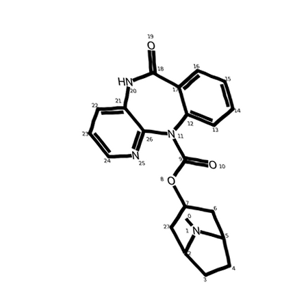 CN1C2CCC1CC(OC(=O)N1c3ccccc3C(=O)Nc3cccnc31)C2